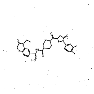 CCN1C(=O)COc2ccc(/C(=N\O)NC(=O)C3CCN(C(=O)C4CC(=O)N(c5ccc(C)c(C)c5)C4)CC3)cc21